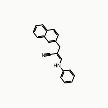 N#C/C(=C\Nc1ccccc1)Cc1ccc2ccccc2c1